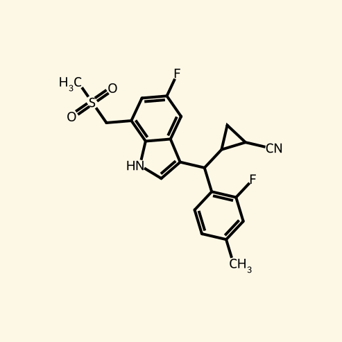 Cc1ccc(C(c2c[nH]c3c(CS(C)(=O)=O)cc(F)cc23)C2CC2C#N)c(F)c1